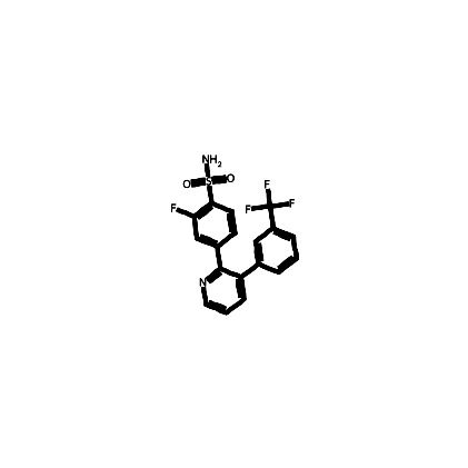 NS(=O)(=O)c1ccc(-c2ncccc2-c2cccc(C(F)(F)F)c2)cc1F